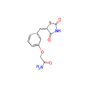 NC(=O)COc1cccc(C=C2SC(=O)NC2=O)c1